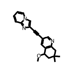 COC1CC(C)(C)Cc2ncc(C#Cc3cn4ccccc4n3)cc21